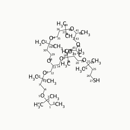 CCC(C)(C)OCCC(C)(C)OCC(COC(C)(C)CCOC(C)(C)CCS)OCCC(C)(C)OCCC(C)(C)OC(C)COC(C)C